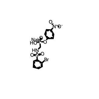 O=[N+]([O-])c1ccc(OP(=O)(O)CNS(=O)(=O)c2ccccc2Br)cc1.[NaH]